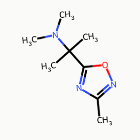 Cc1noc(C(C)(C)N(C)C)n1